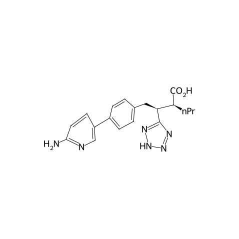 CCC[C@H](C(=O)O)[C@H](Cc1ccc(-c2ccc(N)nc2)cc1)c1nn[nH]n1